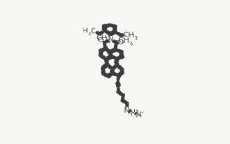 CC(C)c1cccc(C(C)C)c1N1C(=O)c2ccc3c4cccc5c(C#CCCCCN=[N+]=[N-])ccc(c6ccc(c2c36)C1=O)c54